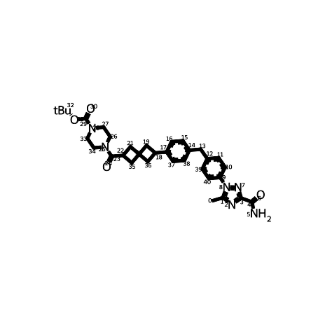 Cc1nc(C(N)=O)nn1-c1ccc(Cc2ccc(C3CC4(CC(C(=O)N5CCN(C(=O)OC(C)(C)C)CC5)C4)C3)cc2)cc1